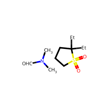 CCC1(CC)CCCS1(=O)=O.CN(C)C=O